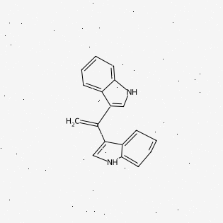 C=C(c1c[nH]c2ccccc12)c1c[nH]c2ccccc12